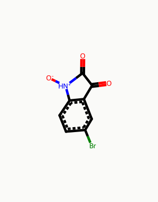 O=C1C(=O)[NH+]([O-])c2ccc(Br)cc21